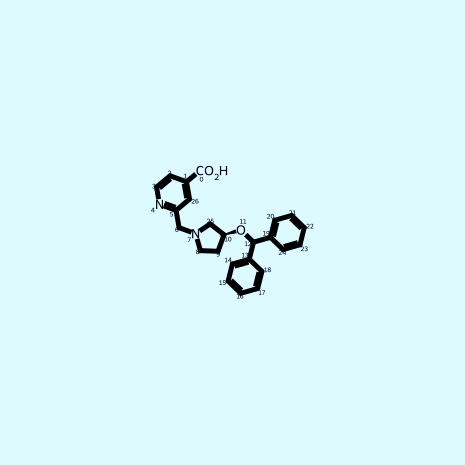 O=C(O)c1ccnc(CN2CC[C@H](OC(c3ccccc3)c3ccccc3)C2)c1